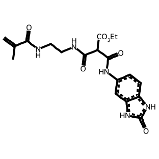 C=C(C)C(=O)NCCNC(=O)C(C(=O)Nc1ccc2[nH]c(=O)[nH]c2c1)C(=O)OCC